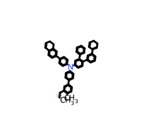 C/C=C\c1cc(-c2ccc(N(c3ccc(-c4ccc5c(c4)CCC=C5)cc3)c3ccc(-c4cccc(C5=CCCC=C5)c4)c(-c4ccccc4)c3)cc2)ccc1C